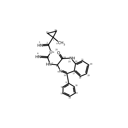 CC1(C(=N)OC(=N)NC2N=C(c3ccccc3)c3ccccc3NC2=O)CC1